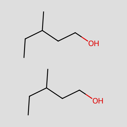 CCC(C)CCO.CCC(C)CCO